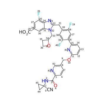 N#CC1(NC(=O)c2ccc(COc3cccc(-c4cc(F)c(Cc5nc6c(F)cc(C(=O)O)cc6n5CC5CCO5)cc4F)n3)cn2)CC1